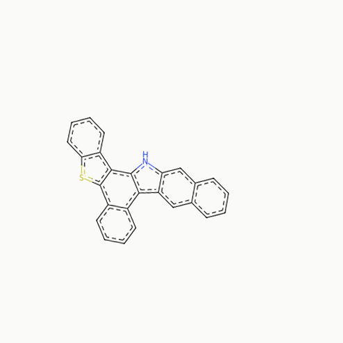 c1ccc2cc3c(cc2c1)[nH]c1c3c2ccccc2c2sc3ccccc3c12